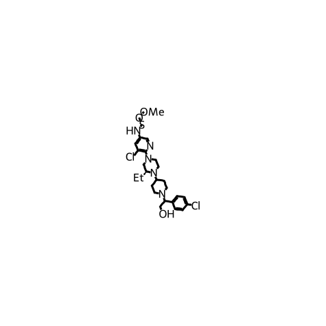 CC[C@H]1CN(c2ncc(NSOOC)cc2Cl)CCN1C1CCN(C(CO)c2ccc(Cl)cc2)CC1